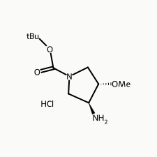 CO[C@H]1CN(C(=O)OC(C)(C)C)C[C@@H]1N.Cl